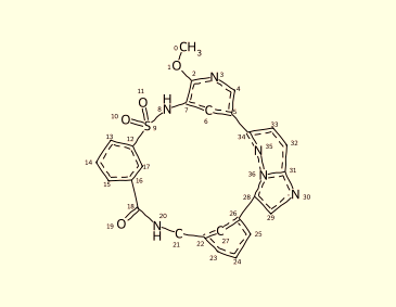 COc1ncc2cc1NS(=O)(=O)c1cccc(c1)C(=O)NCc1cccc(c1)-c1cnc3ccc-2nn13